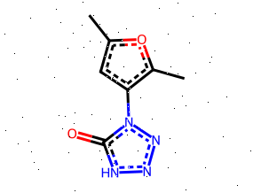 Cc1cc(-n2nn[nH]c2=O)c(C)o1